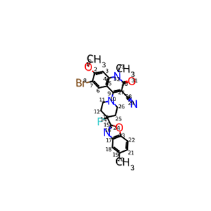 COc1cc2c(cc1Br)c(N1CCC(F)(c3nc4cc(C)ccc4o3)CC1)c(C#N)c(=O)n2C